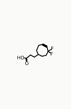 O=C(O)CCC1CCC#CC(F)(F)CC1